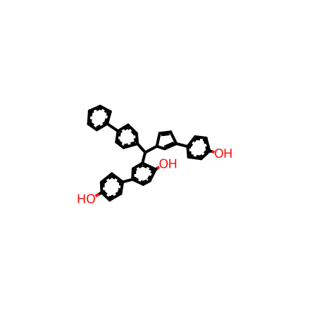 Oc1ccc(C2=CC(C(c3ccc(-c4ccccc4)cc3)c3cc(-c4ccc(O)cc4)ccc3O)C=C2)cc1